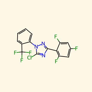 Fc1cc(F)c(-c2nc(Cl)n(-c3ccccc3C(F)(F)F)n2)c(F)c1